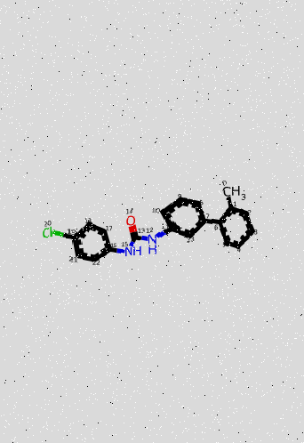 Cc1ccccc1-c1cccc(NC(=O)Nc2ccc(Cl)cc2)c1